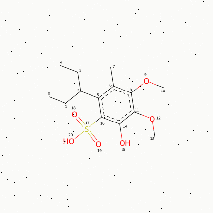 CCC(CC)c1c(C)c(OC)c(OC)c(O)c1S(=O)(=O)O